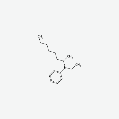 CCCCCCC(C)N(CC)c1ccccc1